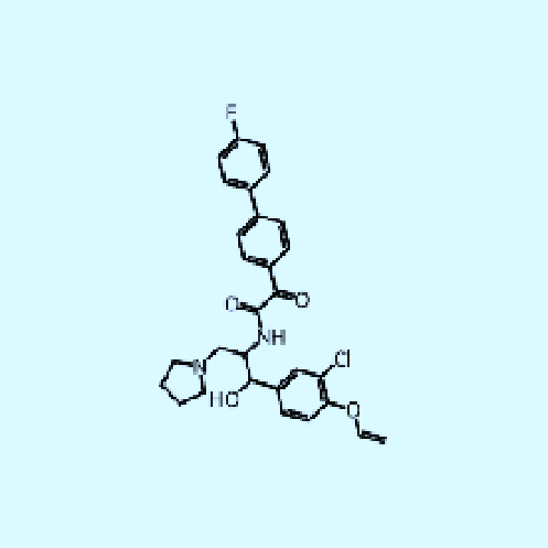 C=COc1ccc(C(O)C(CN2CCCC2)NC(=O)C(=O)c2ccc(-c3ccc(F)cc3)cc2)cc1Cl